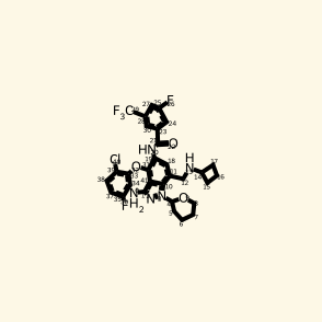 Nc1nn(C2CCCCO2)c2c(CNC3CCC3)cc(NC(=O)c3cc(F)cc(C(F)(F)F)c3)c(Oc3cc(F)ccc3Cl)c12